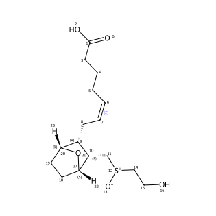 O=C(O)CCC/C=C\C[C@@H]1[C@H](C[S+]([O-])CCO)[C@@H]2CC[C@H]1O2